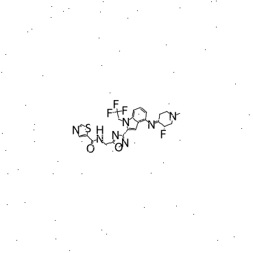 CN1CC/C(=N\c2cccc3c2cc(-c2noc(CNC(=O)c4cncs4)n2)n3CC(F)(F)F)[C@@H](F)C1